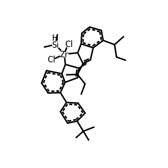 CCC(C)C1=Cc2c(C(C)CC)cccc2[CH]1[Zr]([Cl])([Cl])([CH]1C(C)=Cc2c(-c3ccc(C(C)(C)C)cc3)cccc21)[SiH](C)C